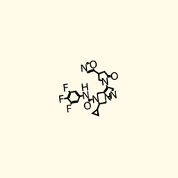 O=C1CC(c2cnco2)CN1c1cnn2c1CN(C(=O)Nc1cc(F)c(F)c(F)c1)C(C1CC1)C2